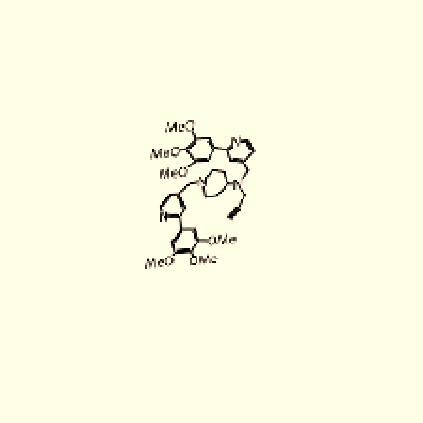 C#CCN(Cc1ccnc(-c2cc(OC)c(OC)c(OC)c2)c1)C1CCN(Cc2ccnc(-c3cc(OC)c(OC)c(OC)c3)c2)CC1